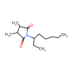 CCCCCC(CC)N1C(=O)C(C)C(C)C1=O